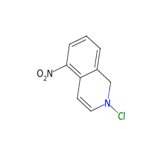 O=[N+]([O-])c1cccc2c1C=CN(Cl)C2